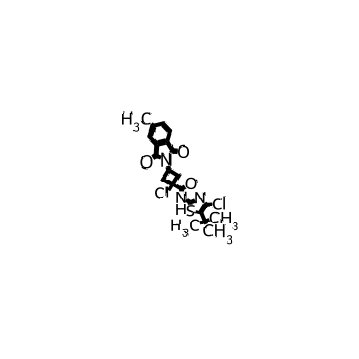 Cc1ccc2c(c1)C(=O)N(C1CC(Cl)(C(=O)Nc3nc(Cl)c(C(C)(C)C)s3)C1)C2=O